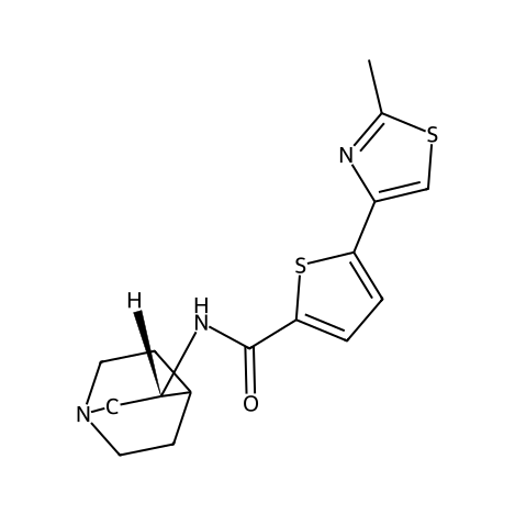 Cc1nc(-c2ccc(C(=O)N[C@H]3CN4CCC3CC4)s2)cs1